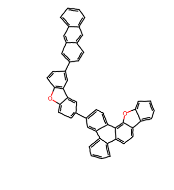 c1ccc2cc3cc(-c4ccc5oc6ccc(-c7ccc8c(c7)c7ccccc7c7ccc9c%10ccccc%10oc9c78)cc6c5c4)ccc3cc2c1